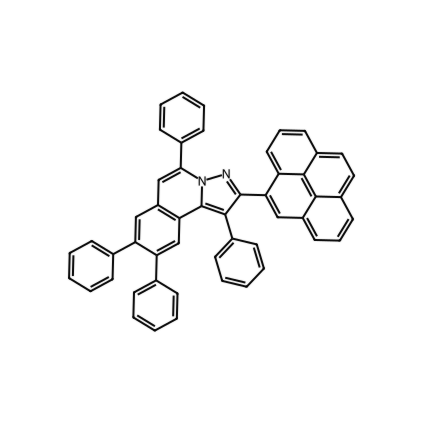 c1ccc(-c2cc3cc(-c4ccccc4)n4nc(-c5cc6cccc7ccc8cccc5c8c76)c(-c5ccccc5)c4c3cc2-c2ccccc2)cc1